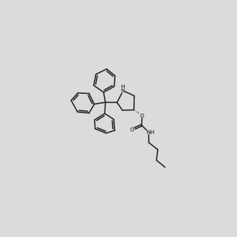 CCCCNC(=O)O[C@H]1CNC(C(c2ccccc2)(c2ccccc2)c2ccccc2)C1